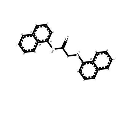 O=C(COc1cccc2ccccc12)Oc1cccc2ccccc12